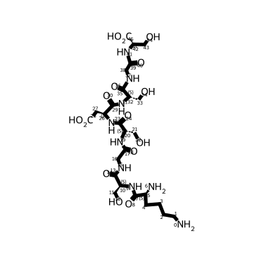 NCCCC[C@H](N)C(=O)N[C@@H](CO)C(=O)NCC(=O)N[C@@H](CO)C(=O)N[C@@H](CC(=O)O)C(=O)N[C@@H](CO)C(=O)NCC(=O)N[C@@H](CO)C(=O)O